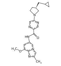 COc1cc(NC(=O)c2cnc(N3CC[C@@H](CC4CC4)C3)cn2)cn2cc(C)nc12